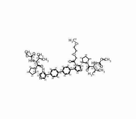 COCCOCC(=O)n1c(-c2ccc(-c3ccc(-c4cnc([C@@H]5CCCN5C(=O)[C@@H](NC(=O)OC)C(C)C)[nH]4)cc3)cc2)cnc1[C@@H]1CCCN1C(=O)[C@@H](NC(=O)OC)C(C)C